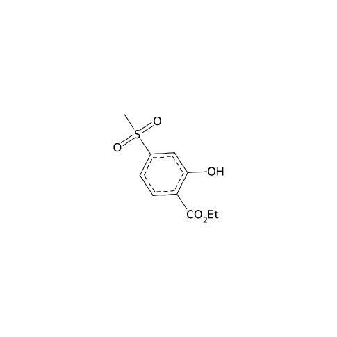 CCOC(=O)c1ccc(S(C)(=O)=O)cc1O